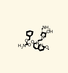 COc1ccc2ccc(=O)n(CCN3C[C@H](CN)[C@H](O)C3)c2n1.NC(=O)OCc1ccccc1